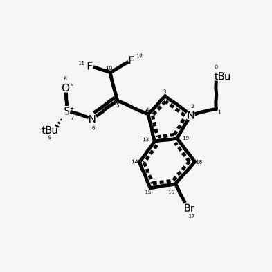 CC(C)(C)Cn1cc(C(=N[S@@+]([O-])C(C)(C)C)C(F)F)c2ccc(Br)cc21